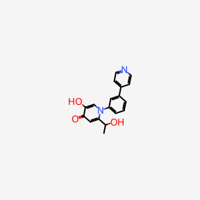 CC(O)c1cc(=O)c(O)cn1-c1cccc(-c2ccncc2)c1